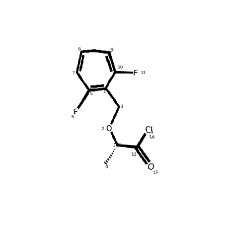 C[C@H](OCc1c(F)cccc1F)C(=O)Cl